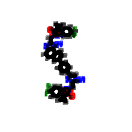 O=C(NCc1nc(-c2ccc(-c3ccc4c(c3)CCc3nc(CNC(=O)C5(C6(O)CCC(F)(F)CC6)CC5)[nH]c3-4)cc2)c[nH]1)C1(C2(O)CCC(F)(F)CC2)CC1